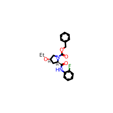 CCO[C@@H]1C[C@H](C(=O)Nc2ccccc2F)N(C(=O)OCc2ccccc2)C1